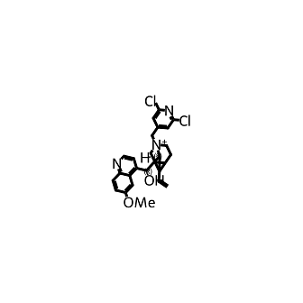 C=CC12C3CC[N+](Cc4cc(Cl)nc(Cl)c4)(CC31)[C@@H]2[C@H](O)c1ccnc2ccc(OC)cc12